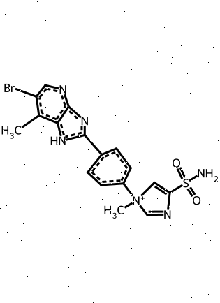 Cc1c(Br)cnc2nc(-c3ccc([N+]4(C)C=NC(S(N)(=O)=O)=C4)cc3)[nH]c12